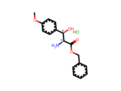 COc1ccc([C@@H](O)[C@H](N)C(=O)OCc2ccccc2)cc1.Cl